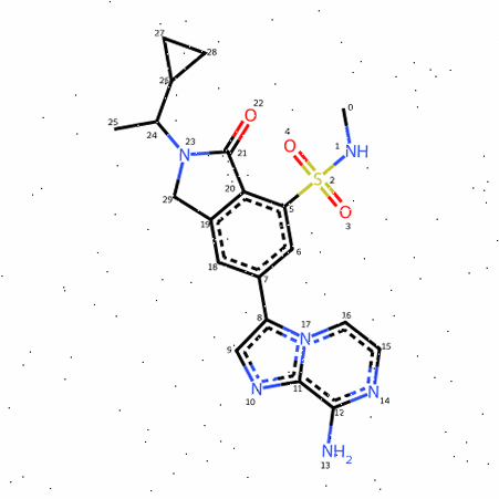 CNS(=O)(=O)c1cc(-c2cnc3c(N)nccn23)cc2c1C(=O)N(C(C)C1CC1)C2